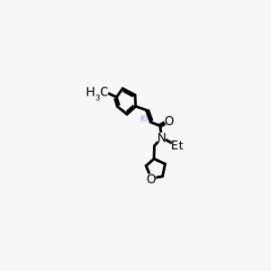 CCN(CC1CCOC1)C(=O)/C=C/c1ccc(C)cc1